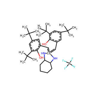 CC(C)(C)c1cc([CH]=[Co]2(=[CH]c3cc(C(C)(C)C)cc(C(C)(C)C)c3O)[NH]C3CCCCC3[NH]2)c(O)c(C(C)(C)C)c1.F[B-](F)(F)F